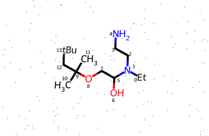 CCN(CCN)C(O)COC(C)(C)CC(C)(C)C